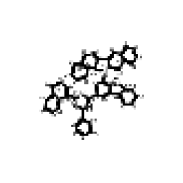 c1ccc(C2N=C(c3cc(-n4c5cc6ccccc6cc5c5ccc6ccccc6c54)c4oc5ccccc5c4c3)N=C(c3cccc4ccccc34)N2)cc1